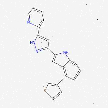 c1ccc(-c2cc(-c3cc4c(-c5ccsc5)cccc4[nH]3)n[nH]2)nc1